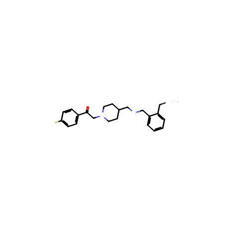 COCc1ccccc1CNCC1CCN(CC(=O)c2ccc(F)cc2)CC1